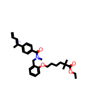 C=C/C=C(\C)c1ccc(C(=O)N(C)Cc2ccccc2OCCCCC(C)(C)C(=O)OCC)cc1